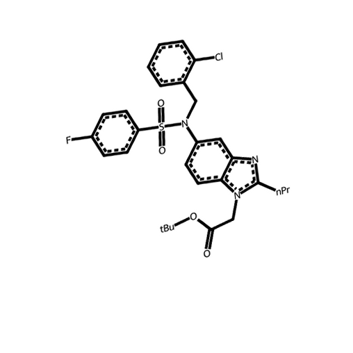 CCCc1nc2cc(N(Cc3ccccc3Cl)S(=O)(=O)c3ccc(F)cc3)ccc2n1CC(=O)OC(C)(C)C